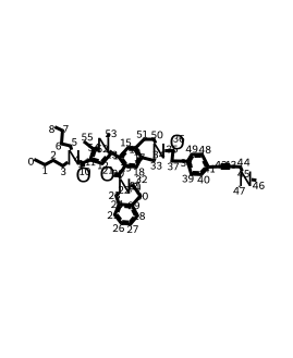 CCCCN(CCCC)C(=O)c1cc(-c2cc3c(cc2C(=O)N2Cc4ccccc4C[C@H]2C)CN(C(=O)Cc2ccc(C#CCN(C)C)cc2)CC3)n(C)c1C